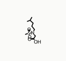 CC(C)CCCN(CC(=O)O)S(C)(=O)=O